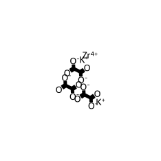 O=C([O-])C(=O)[O-].O=C([O-])C(=O)[O-].O=C([O-])C(=O)[O-].[K+].[K+].[Zr+4]